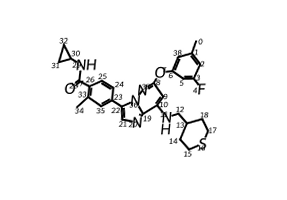 Cc1cc(F)cc(Oc2cc(NCC3CCSCC3)c3ncc(-c4ccc(C(=O)NC5CC5)c(C)c4)n3n2)c1